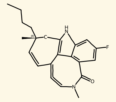 CCCC[C@@]1(C)C=CC2=C=CN(C)C(=O)c3cc(F)cc4[nH]c(c2c34)C1